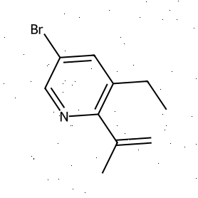 C=C(C)c1ncc(Br)cc1CC